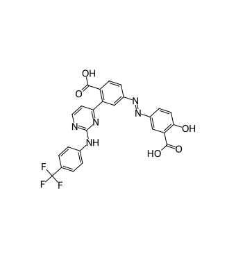 O=C(O)c1cc(N=Nc2ccc(C(=O)O)c(-c3ccnc(Nc4ccc(C(F)(F)F)cc4)n3)c2)ccc1O